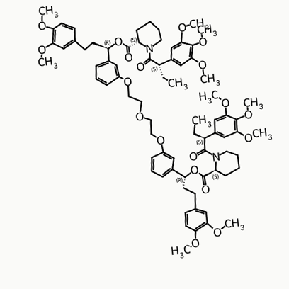 CC[C@H](C(=O)N1CCCC[C@H]1C(=O)O[C@H](CCc1ccc(OC)c(OC)c1)c1cccc(OCCOCCOc2cccc([C@@H](CCc3ccc(OC)c(OC)c3)OC(=O)[C@@H]3CCCCN3C(=O)[C@@H](CC)c3cc(OC)c(OC)c(OC)c3)c2)c1)c1cc(OC)c(OC)c(OC)c1